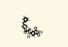 O=C(Nc1ccc2c(c1)C(=O)NC2=O)C(=O)N1CCC(Cc2ccccc2)CC1